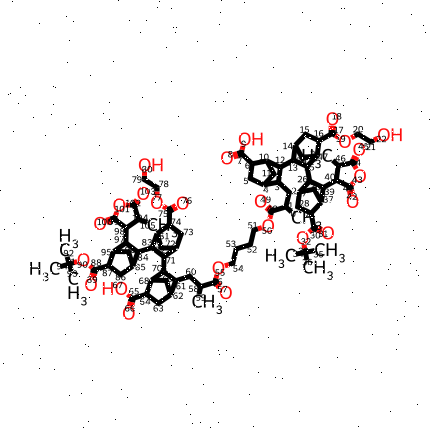 CC(CC1C2CC(C(=O)O)C(C2)C1C1C2CC(C(=O)OCCO)C(C2)C1C1C2CC(C(=O)OC(C)(C)C)C(C2)C1C1C(=O)OC(=O)C1C)C(=O)OCCCCOC(=O)C(C)CC1C2CC(C(=O)O)C(C2)C1C1C2CC(C(=O)OCCO)C(C2)C1C1C2CC(C(=O)OC(C)(C)C)C(C2)C1C1C(=O)OC(=O)C1C